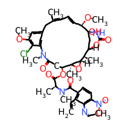 C=Cc1c(C(=O)N(C)[C@@H](C)C(=O)O[C@H]2CC(=O)N(C)c3cc(cc(OC)c3Cl)C/C(C)=C/C=C/[C@@H](OC)[C@@]3(O)C[C@H](OC(=O)N3)[C@@H](C)[C@@H]3O[C@@]23C)ccc([N+](=O)[O-])c1/N=C\C